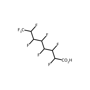 O=C(O)C(F)C(F)C(F)C(F)C(F)C(F)C(F)(F)F